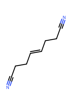 N#CCCC=CCCC#N